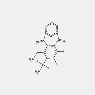 NCc1c2c(c(F)c(F)c1C(N)(F)F)C(=O)c1cccc(c1)C2=O